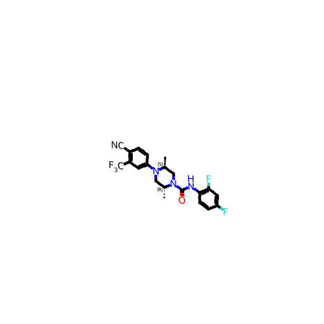 C[C@@H]1CN(c2ccc(C#N)c(C(F)(F)F)c2)[C@@H](C)CN1C(=O)Nc1ccc(F)cc1F